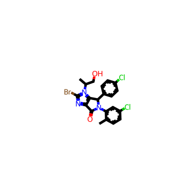 Cc1ccc(Cl)cc1N1C(=O)c2nc(Br)n(C(C)CO)c2C1c1ccc(Cl)cc1